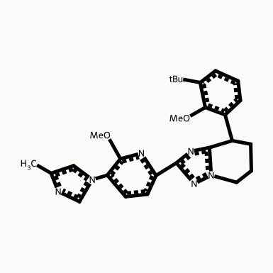 COc1nc(-c2nc3n(n2)CCCC3c2cccc(C(C)(C)C)c2OC)ccc1-n1cnc(C)c1